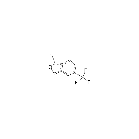 [CH2]c1occ2cc(C(F)(F)F)ccc12